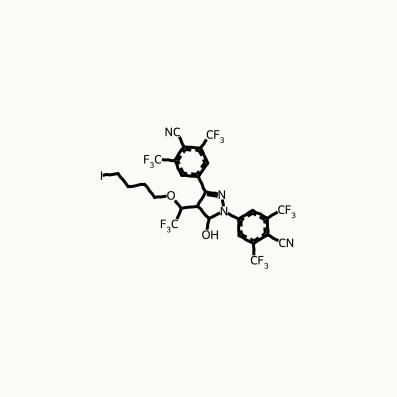 N#Cc1c(C(F)(F)F)cc(C2=NN(c3cc(C(F)(F)F)c(C#N)c(C(F)(F)F)c3)C(O)C2C(OCCCCI)C(F)(F)F)cc1C(F)(F)F